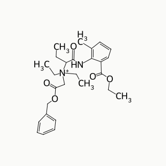 CCOC(=O)c1cccc(C)c1NC(=O)C(CC)[N+](CC)(CC)CC(=O)OCc1ccccc1